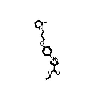 CCOC(=O)c1cnn(-c2ccc(OCCCN3CCC[C@H]3C)cc2)c1